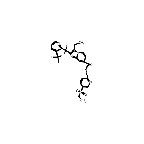 CCc1c(C(F)(F)c2ncccc2C(F)(F)F)nc2cc(C(=O)NCc3ccc(S(=O)(=O)CC)cn3)ccn12